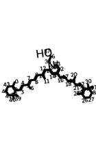 CC1=C(/C=C/C(C)=C/C=C/C(C)=C/c2cc(/C=C/C=C(C)/C=C/C3=C(C)CCCC3(C)C)cc[n+]2CCO)C(C)(C)CCC1